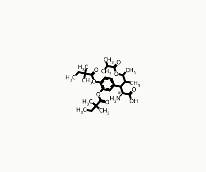 CCC(C)(C)C(=O)Oc1ccc(C(C(C)C(C)OC(=O)C(C)C)[C@H](N)C(=O)O)cc1OC(=O)C(C)(C)CC